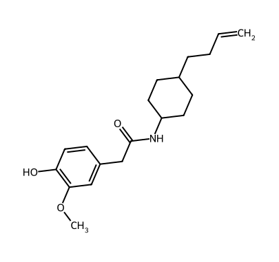 C=CCCC1CCC(NC(=O)Cc2ccc(O)c(OC)c2)CC1